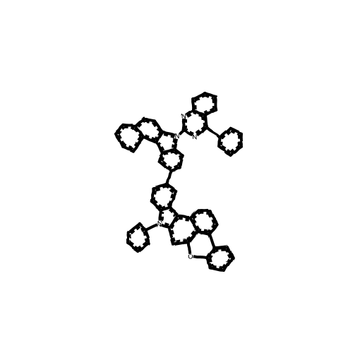 c1ccc(-c2nc(-n3c4ccc(-c5ccc6c(c5)c5c7cccc8c7c(cc5n6-c5ccccc5)Oc5ccccc5-8)cc4c4c5ccccc5ccc43)nc3ccccc23)cc1